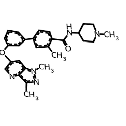 Cc1cc(-c2cccc(Oc3cnc4c(C)nn(C)c4c3)c2)ccc1C(=O)NC1CCN(C)CC1